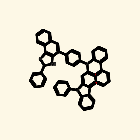 c1ccc(-c2ccccc2N(c2ccc(-c3cc4ccccc4c4c3NC(c3ccccc3)O4)cc2)c2ccc3c4ccccc4n(-c4ccccc4)c3c2)cc1